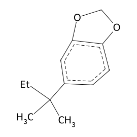 CCC(C)(C)c1ccc2c(c1)OCO2